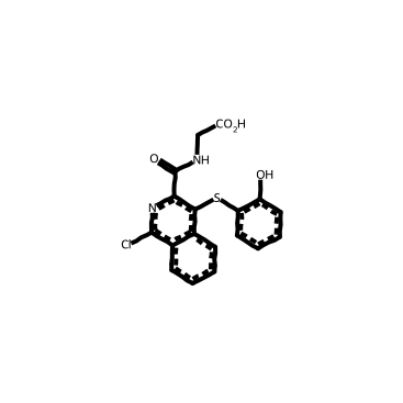 O=C(O)CNC(=O)c1nc(Cl)c2ccccc2c1Sc1ccccc1O